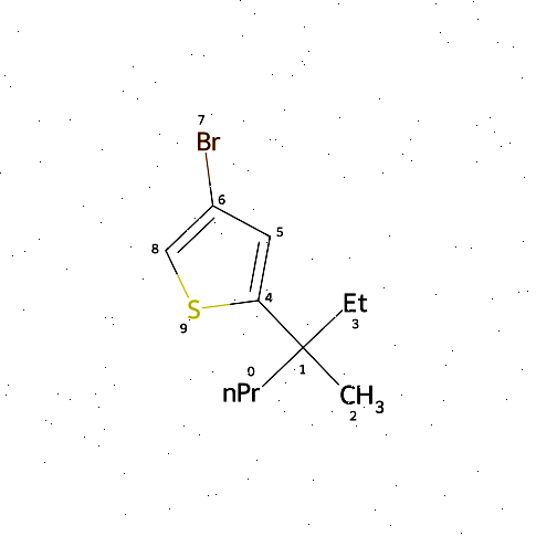 CCCC(C)(CC)c1cc(Br)cs1